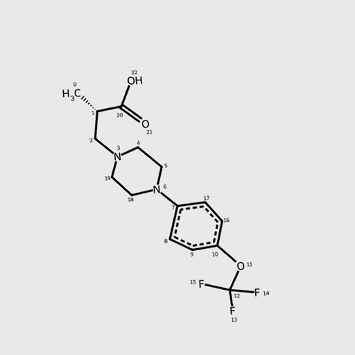 C[C@@H](CN1CCN(c2ccc(OC(F)(F)F)cc2)CC1)C(=O)O